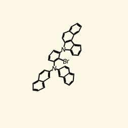 Brc1c(N(c2ccc3ccccc3c2)c2ccc3ccccc3c2)cccc1-n1c2ccccc2c2c3ccccc3ccc21